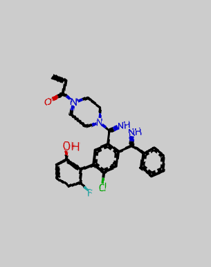 C=CC(=O)N1CCN(C(=N)c2cc(C3=C(O)C=CCC3F)c(Cl)cc2C(=N)c2ccccc2)CC1